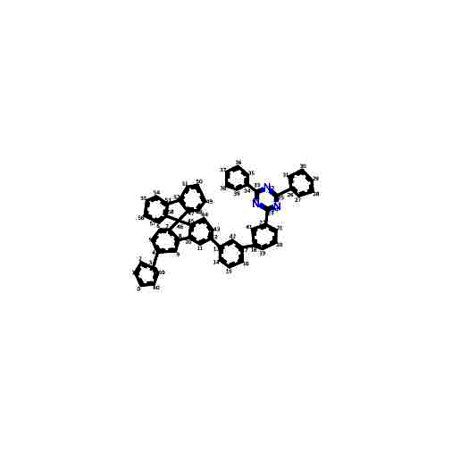 c1ccc(-c2ccc3c(c2)-c2cc(-c4cccc(-c5cccc(-c6nc(-c7ccccc7)nc(-c7ccccc7)n6)c5)c4)ccc2C32c3ccccc3-c3ccccc32)cc1